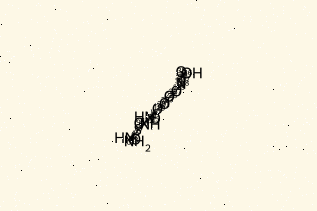 NNC(=O)CCSCC(=O)NCCNC(=O)CCOCCOCCOCCOCCN1CCC(C(=O)O)CC1